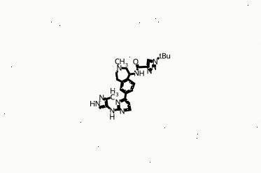 Cc1n[nH]cc1Nc1nccc(-c2ccc3c(c2)CCN(C)CC3NC(=O)c2cn(C(C)(C)C)nn2)n1